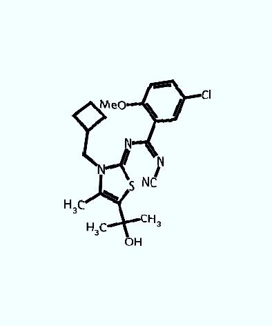 COc1ccc(Cl)cc1C(=NC#N)/N=c1\sc(C(C)(C)O)c(C)n1CC1CCC1